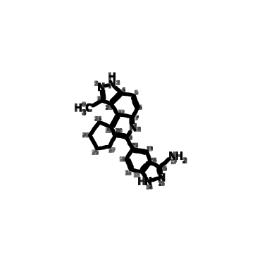 Cc1n[nH]c2ccc3nc(-c4ccc5[nH]nc(N)c5c4)c4c(c3c12)CCCC4